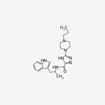 CCCN1CCN(c2nnc(C(=O)NC(C)Cc3c[nH]c4ccccc34)[nH]2)CC1